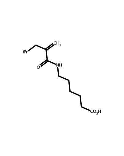 C=C(CC(C)C)C(=O)NCCCCCC(=O)O